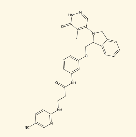 Cc1c(N2Cc3ccccc3C2COc2cccc(NC(=O)CCNc3ccc(C#N)cn3)c2)cn[nH]c1=O